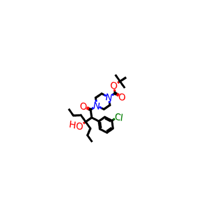 CCCC(O)(CCC)C(C(=O)N1CCN(C(=O)OC(C)(C)C)CC1)c1cccc(Cl)c1